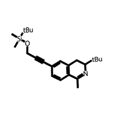 CC1=NC(C(C)(C)C)Cc2cc(C#CCO[Si](C)(C)C(C)(C)C)ccc21